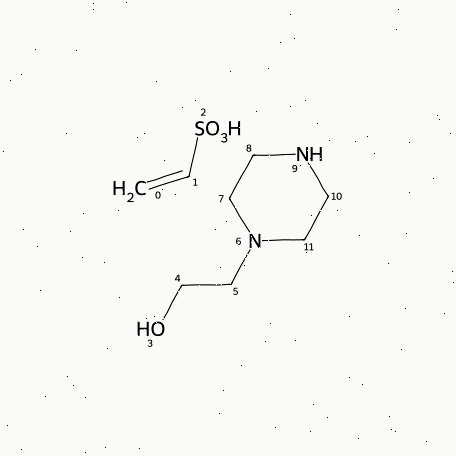 C=CS(=O)(=O)O.OCCN1CCNCC1